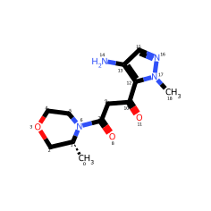 C[C@@H]1COCCN1C(=O)CC(=O)c1c(N)cnn1C